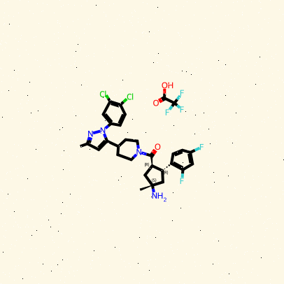 Cc1cc(C2CCN(C(=O)[C@@H]3C[C@@](C)(N)C[C@H]3c3ccc(F)cc3F)CC2)n(-c2ccc(Cl)c(Cl)c2)n1.O=C(O)C(F)(F)F